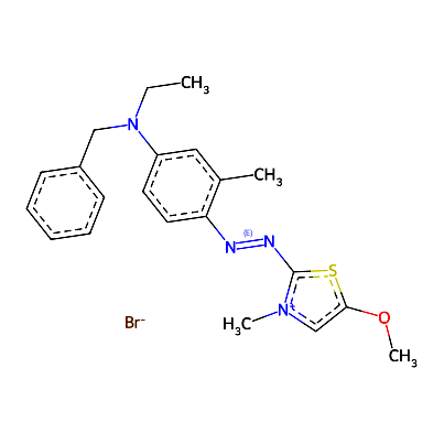 CCN(Cc1ccccc1)c1ccc(/N=N/c2sc(OC)c[n+]2C)c(C)c1.[Br-]